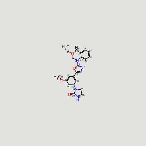 CCOCN(c1ncc(-c2cc(OC)cc(N3CCNC3=O)c2)o1)c1ccccc1C